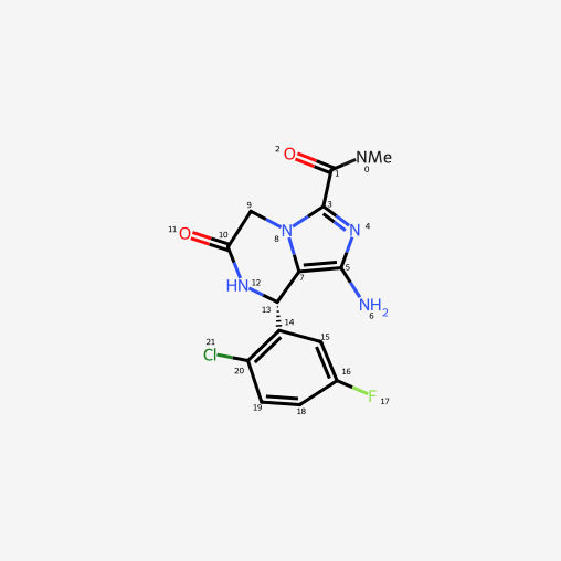 CNC(=O)c1nc(N)c2n1CC(=O)N[C@H]2c1cc(F)ccc1Cl